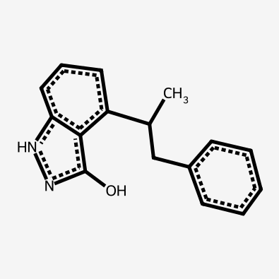 CC(Cc1ccccc1)c1cccc2[nH]nc(O)c12